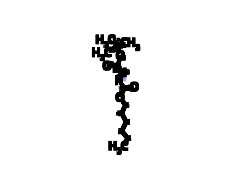 CCCCCCOC(=O)/N=N/C(=O)OC(C)(C)C